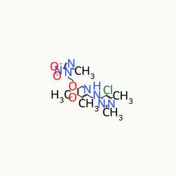 COc1c(OCCn2c([N+](=O)[O-])cnc2C)cnc(CNc2nc(C)nc(C)c2Cl)c1C